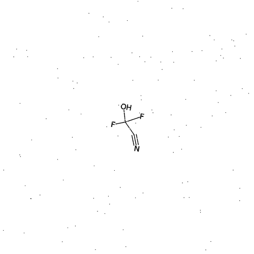 N#CC(O)(F)F